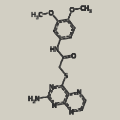 COc1ccc(NC(=O)CSc2nc(N)nc3nccnc23)cc1OC